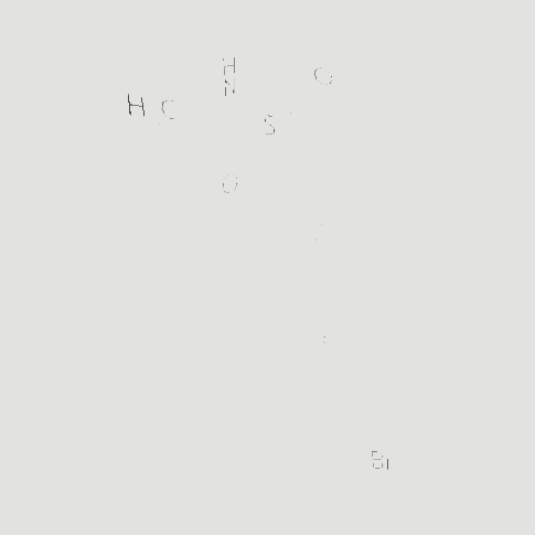 CNS(=O)(=O)CCCCCBr